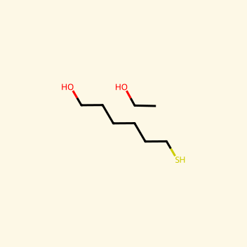 CCO.OCCCCCCS